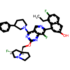 CCc1c(F)ccc2cc(O)cc(-c3ncc4c(N5CCCC(c6ccccc6)C5)nc(OC[C@@]56CCCN5C[C@H](F)C6)nc4c3F)c12